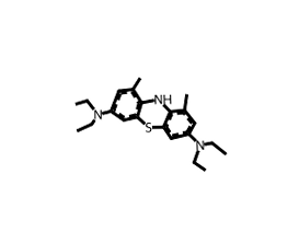 CCN(CC)c1cc(C)c2c(c1)Sc1cc(N(CC)CC)cc(C)c1N2